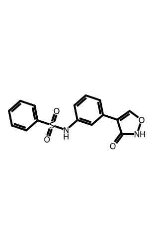 O=c1[nH]occ1-c1cccc(NS(=O)(=O)c2ccccc2)c1